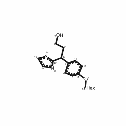 CCCCCCOc1ccc(C(CCO)c2nccs2)cc1